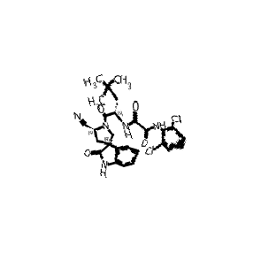 CC(C)(C)C[C@H](NC(=O)C(=O)Nc1c(Cl)cccc1Cl)C(=O)N1C[C@]2(C[C@H]1C#N)C(=O)Nc1ccccc12